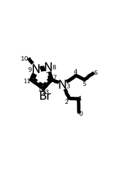 CCCN(CCC)c1nn(C)cc1Br